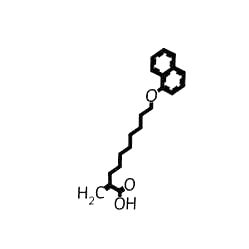 C=C(CCCCCCCCOc1cccc2ccccc12)C(=O)O